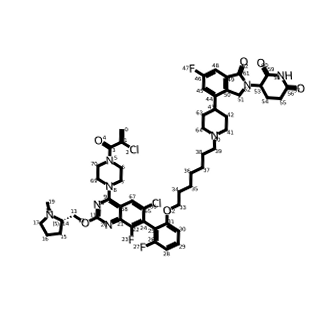 C=C(Cl)C(=O)N1CCN(c2nc(OC[C@@H]3CCCN3C)nc3c(F)c(-c4c(F)cccc4OCCCCCCCN4CCC(c5cc(F)cc6c5CN(C5CCC(=O)NC5=O)C6=O)CC4)c(Cl)cc23)CC1